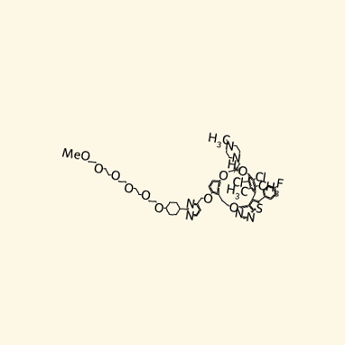 COCCOCCOCCOCCOCCOC1CCC(c2nccc(COc3ccc4cc3CCOc3ncnc5sc(-c6ccc(F)cc6)c(c35)-c3c(C)c(Cl)c(c(Cl)c3C)O[C@H](CN3CCN(C)CC3)CO4)n2)CC1